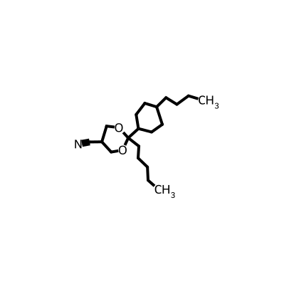 CCCCCC1(C2CCC(CCCC)CC2)OCC(C#N)CO1